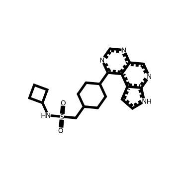 O=S(=O)(CC1CCC(c2ncnc3cnc4[nH]ccc4c23)CC1)NC1CCC1